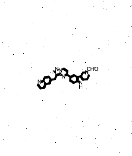 O=CN1CCc2[nH]c3ccc(-c4ccn5nnc(Cc6ccc7ncccc7c6)c5n4)cc3c2C1